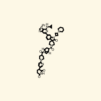 CC(C)n1cnc2cc(-c3ccc4c(c3)N([C@H]3C[C@@H](N5CCCCC5)C3)C(=O)C43CCN(C(=O)[C@@H]4C[C@@H]5C[C@H]4CN5C(=O)C4CCN(c5ccc(C6CCC(=O)NC6=O)cn5)CC4)CC3)nc(NC3CC3)c21